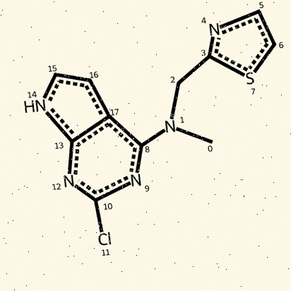 CN(Cc1nccs1)c1nc(Cl)nc2[nH]ccc12